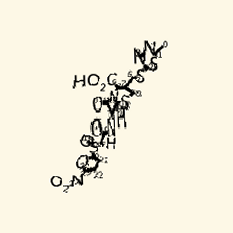 Cc1nnc(SCC2=C(C(=O)O)N3C(=O)C(NC(=O)C[S+]([O-])c4ccc([N+](=O)[O-])o4)[C@H]3SC2)s1